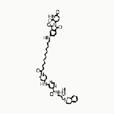 O=C1CCC(N2C(=O)c3ccc(NCCCCCCCCCCCC(=O)N4CCC(Nc5cc(C(=O)NC[C@H](O)CN6CCc7ccccc7C6)ncn5)CC4)cc3C2=O)C(=O)N1